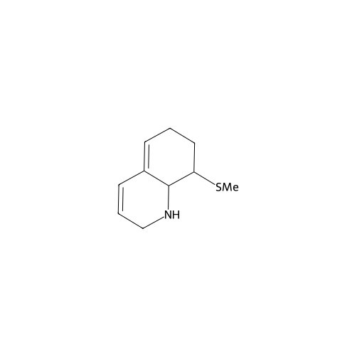 CSC1CCC=C2C=CCNC21